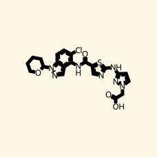 O=C(O)Cn1ccc(Nc2ncc(C(=O)Nc3c(Cl)ccc4c3cnn4C3CCCCO3)s2)n1